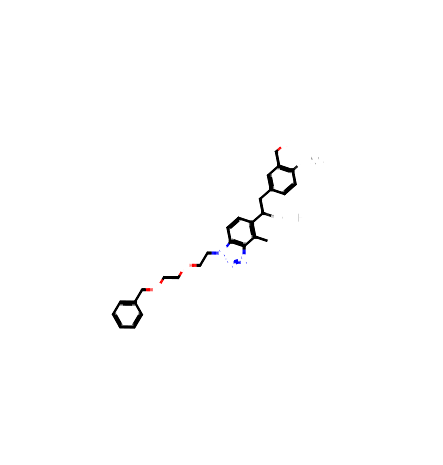 CCOC(=O)C(Cc1ccc(OC)c([C@H](C)O)c1)c1ccc2c(nnn2CCOCCOCc2ccccc2)c1C